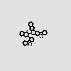 CC1c2ccccc2C=C(c2cccc3oc4ccccc4c23)C1C1Cc2cc3oc4ccccc4c3cc2-c2cc3ccccc3cc21